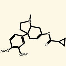 COc1ccc(C23CC=C(OC(=O)C4CC4)CC2N(C)CC3)cc1OC